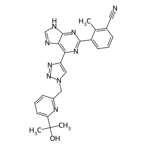 Cc1c(C#N)cccc1-c1nc(-c2cn(Cc3cccc(C(C)(C)O)n3)nn2)c2nc[nH]c2n1